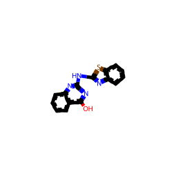 Oc1nc(Nc2nc3ccccc3s2)nc2ccccc12